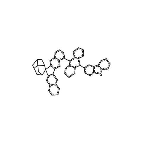 c1ccc2cc3c(cc2c1)-c1cc2c(-c4c5ccccc5c(-c5ccc6sc7ccccc7c6c5)c5ccccc45)cccc2cc1C31C2CC3CC(C2)CC1C3